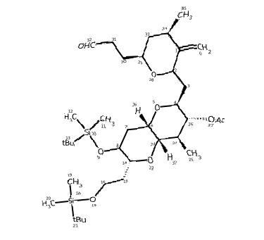 C=C1C(C[C@@H]2O[C@H]3CC(O[Si](C)(C)C(C)(C)C)[C@@H](CCO[Si](C)(C)C(C)(C)C)O[C@H]3[C@H](C)[C@H]2OC(C)=O)O[C@@H](CCC=O)C[C@H]1C